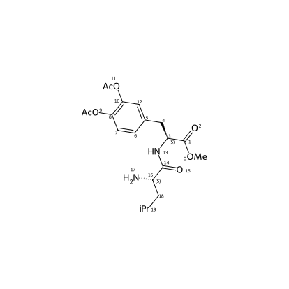 COC(=O)[C@H](Cc1ccc(OC(C)=O)c(OC(C)=O)c1)NC(=O)[C@@H](N)CC(C)C